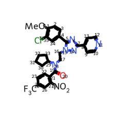 COc1ccc(-c2nc(-c3ccncc3)nn2CCN(C(=O)c2ccc(C(F)(F)F)cc2[N+](=O)[O-])C2CCCC2)cc1Cl